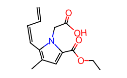 C=C/C=C\c1c(C)cc(C(=O)OCC)n1CC(=O)O